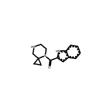 O=C(c1cc2ccccc2[nH]1)N1CCNCC12CC2